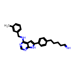 Cc1cccc(CNc2ncnc3[nH]c(-c4ccc(CCCCC=N)cc4)cc23)c1